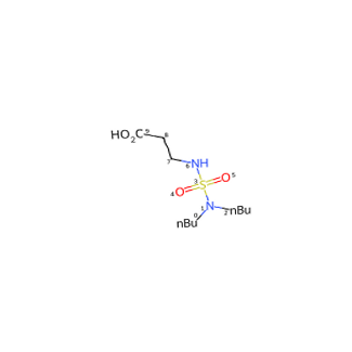 CCCCN(CCCC)S(=O)(=O)NCCC(=O)O